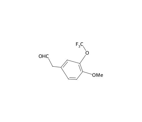 COc1ccc(CC=O)cc1OC(F)(F)F